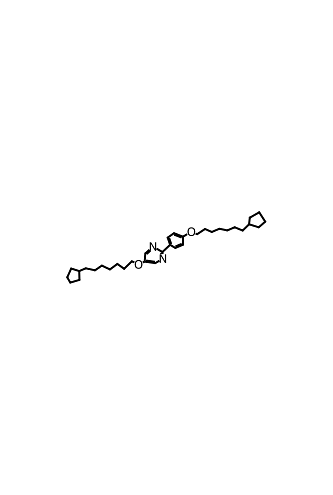 c1cc(-c2ncc(OCCCCCCCC3CCCC3)cn2)ccc1OCCCCCCCC1CCCC1